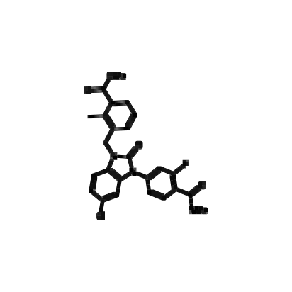 CNC(=O)c1ccc(-n2c(=O)n(Cc3cccc(C(=O)OC)c3C)c3ccc(Cl)cc32)cc1F